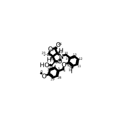 COc1ccc(COc2c(I)cccc2CN2O[C@@H](CO)[C@H]3[C@H](C)OC(=O)[C@H]32)cc1